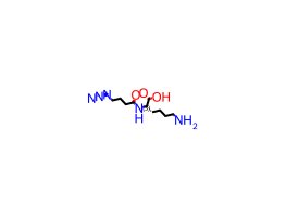 [N-]=[N+]=NCCCC(=O)N[C@@H](CCCCN)C(=O)O